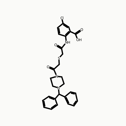 O=C(CSCC(=O)N1CCN(C(c2ccccc2)c2ccccc2)CC1)Nc1ccc(Cl)cc1C(=O)O